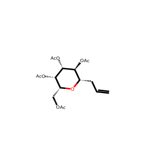 C=CC[C@@H]1O[C@H](COC(C)=O)[C@H](OC(C)=O)[C@H](OC(C)=O)[C@H]1OC(C)=O